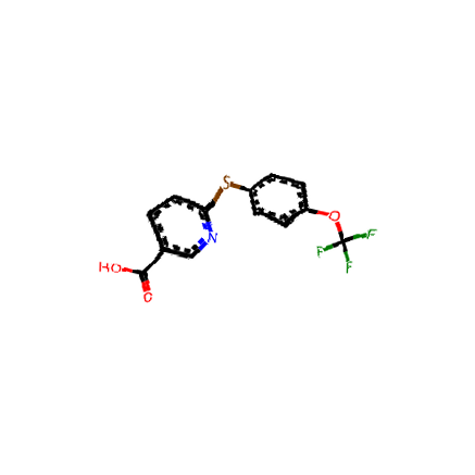 O=C(O)c1ccc(Sc2ccc(OC(F)(F)F)cc2)nc1